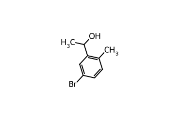 Cc1ccc(Br)cc1C(C)O